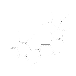 COC(=O)C1(C(F)(F)F)CC(c2cc(-n3c(=O)n(C)c(=S)n(C)c3=O)c(F)cc2Cl)=NO1